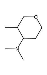 CC1COCCC1N(C)C